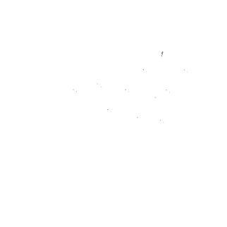 C[C@H](Nc1nc(Nc2cn(CC(F)(F)F)cn2)nc(N2CCOCC2)n1)c1ncc(F)cn1